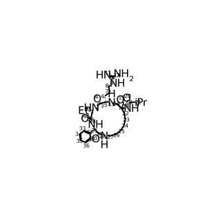 CC[C@@H]1NC(=O)[C@H](CCCNC(=N)N)NC(=O)[C@](C)(NC(=O)C(C)C)CCCCCCNC(=O)[C@@H](c2ccccc2)NC1=O